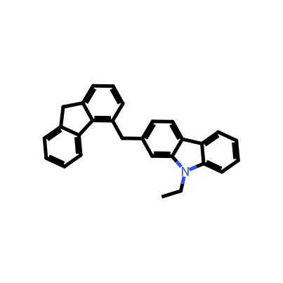 CCn1c2ccccc2c2ccc(Cc3cccc4c3-c3ccccc3C4)cc21